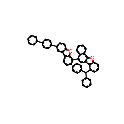 c1ccc(-c2ccc(-c3ccc4oc5c(-c6cc7c(oc8cccc(C(c9ccccc9)c9ccccc9)c87)c7ccccc67)cccc5c4c3)cc2)cc1